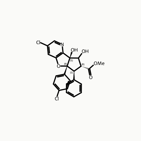 COC(=O)[C@H]1C(O)[C@@]2(O)c3ncc(Cl)cc3O[C@@]2(c2ccc(Cl)cc2)[C@@H]1c1ccccc1